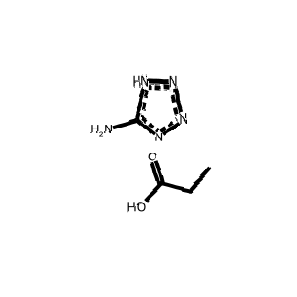 CCC(=O)O.Nc1nnn[nH]1